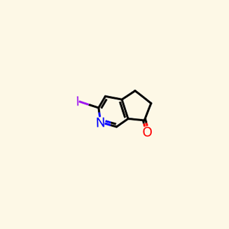 O=C1CCc2cc(I)ncc21